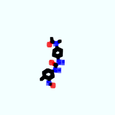 CC(=O)N(C)c1ccc(NC(=O)Nc2ccc(C)c(N=O)c2)cc1